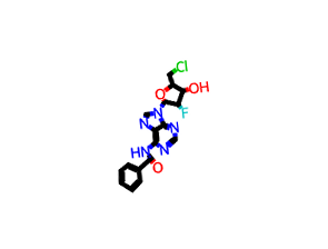 O=C(Nc1ncnc2c1ncn2C1OC(CCl)C(O)C1F)c1ccccc1